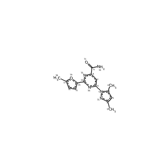 Cc1cc(C)n(-c2cc(C(N)=O)nc(-c3ccc(C)o3)n2)n1